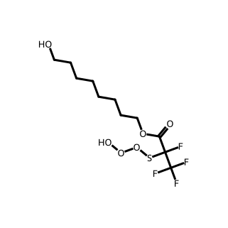 O=C(OCCCCCCCCO)C(F)(SOOO)C(F)(F)F